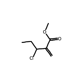 C=C(C(=O)OC)C(Cl)CC